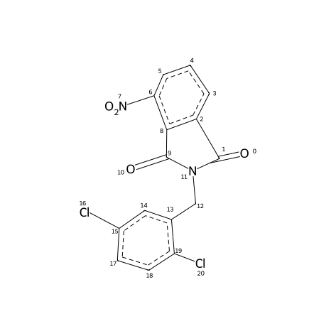 O=C1c2cccc([N+](=O)[O-])c2C(=O)N1Cc1cc(Cl)ccc1Cl